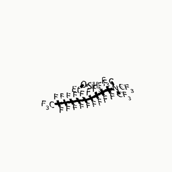 CCO[SiH3].FC(F)(F)C(F)(F)C(F)(F)C(F)(F)C(F)(F)C(F)(F)C(F)(F)C(F)(F)C(F)(F)C(F)(F)[N+](C(F)(F)F)(C(F)(F)F)C(F)(F)F